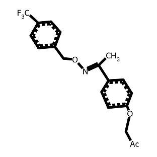 CC(=O)COc1ccc(C(C)=NOCc2ccc(C(F)(F)F)cc2)cc1